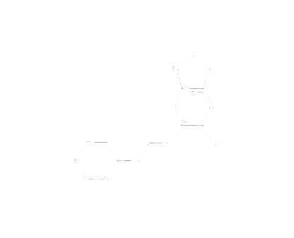 Brc1cc2c(cc1OCCC1CCCCN1)NCC2